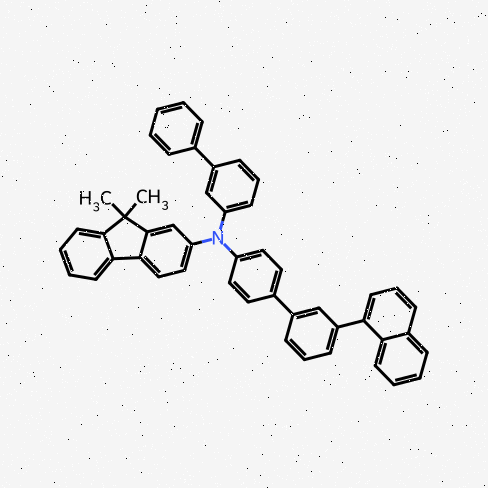 CC1(C)c2ccccc2-c2ccc(N(c3ccc(-c4cccc(-c5cccc6ccccc56)c4)cc3)c3cccc(-c4ccccc4)c3)cc21